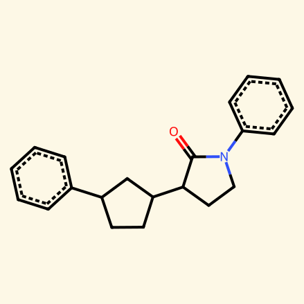 O=C1C(C2CCC(c3ccccc3)C2)CCN1c1ccccc1